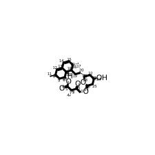 CC(=O)[C@H](C)C(=O)O[C@H]1C[C@@H](C)C=C2C=C[C@H](C)C(CC[C@@H]3C[C@@H](O)CC(=O)O3)[C@H]21